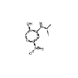 CC(C)Nc1cc([N+](=O)[O-])ccc1O